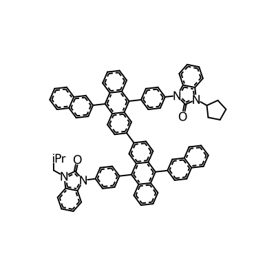 CC(C)Cn1c(=O)n(-c2ccc(-c3c4ccccc4c(-c4ccc5ccccc5c4)c4ccc(-c5ccc6c(-c7ccc8ccccc8c7)c7ccccc7c(-c7ccc(-n8c(=O)n(C9CCCC9)c9ccccc98)cc7)c6c5)cc34)cc2)c2ccccc21